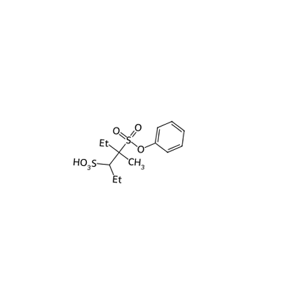 CCC(C(C)(CC)S(=O)(=O)Oc1ccccc1)S(=O)(=O)O